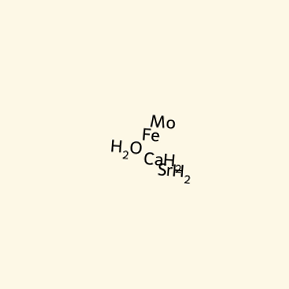 O.[CaH2].[Fe].[Mo].[SrH2]